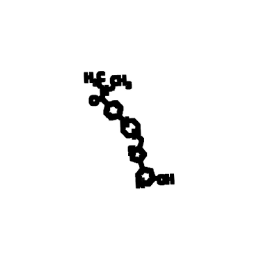 CCN(CC)C(=O)c1ccc(N2CCN(Cc3cc(-c4cncc(O)c4)cs3)CC2)cc1